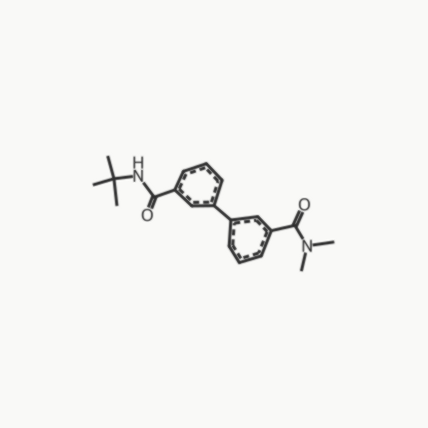 CN(C)C(=O)c1cccc(-c2cccc(C(=O)NC(C)(C)C)c2)c1